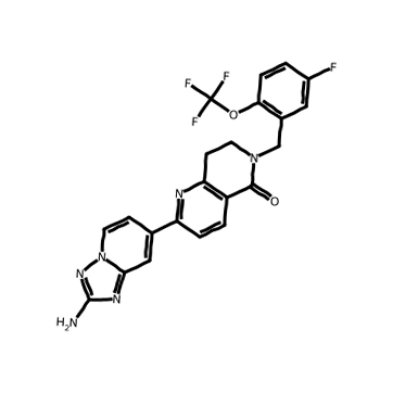 Nc1nc2cc(-c3ccc4c(n3)CCN(Cc3cc(F)ccc3OC(F)(F)F)C4=O)ccn2n1